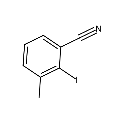 Cc1cccc(C#N)c1I